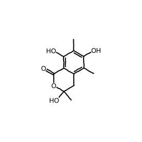 Cc1c(O)c(C)c2c(c1O)C(=O)OC(C)(O)C2